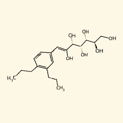 CCCc1ccc(C=C(O)[C@H](O)[C@@H](O)[C@H](O)[C@H](O)CO)cc1CCC